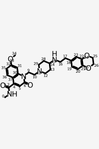 CNC(=O)c1cc(=O)n(CCN2CCC(NCCc3ccc4c(c3)OCCO4)CC2)c2cc(OC)ccc12